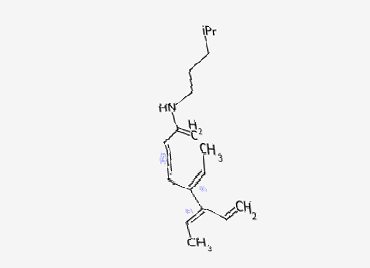 C=CC(=C\C)/C(/C=C\C(=C)NCCCC(C)C)=C/C